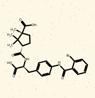 CC1(C)[C@@H](C(=O)N[C@@H](Cc2ccc(NC(=O)c3ccccc3Br)cc2)C(=O)O)CC[C@@]1(C)C(=O)O